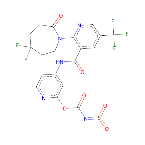 O=C(N=S(=O)=O)Oc1cc(NC(=O)c2cc(C(F)(F)F)cnc2N2CCC(F)(F)CCC2=O)ccn1